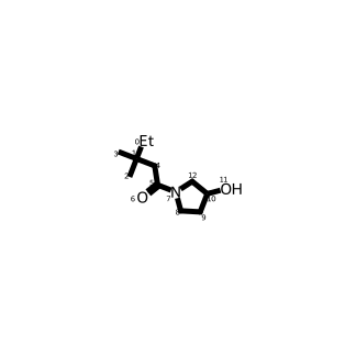 CCC(C)(C)CC(=O)N1CCC(O)C1